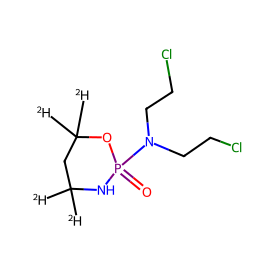 [2H]C1([2H])CC([2H])([2H])OP(=O)(N(CCCl)CCCl)N1